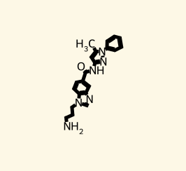 Cc1cc(NC(=O)c2ccc3c(c2)ncn3CCCN)nn1-c1ccccc1